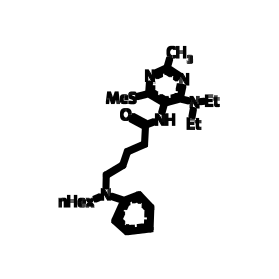 CCCCCCN(CCCCC(=O)Nc1c(SC)nc(C)nc1N(CC)CC)c1ccccc1